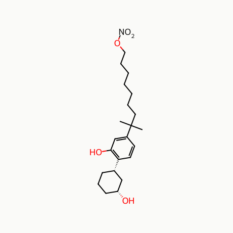 CC(C)(CCCCCCCO[N+](=O)[O-])c1ccc([C@H]2CCC[C@@H](O)C2)c(O)c1